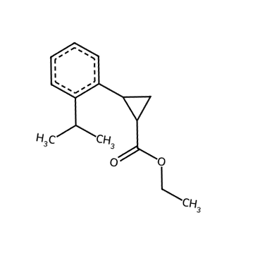 CCOC(=O)C1CC1c1ccccc1C(C)C